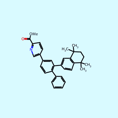 COC(=O)c1ccc(-c2ccc(-c3ccccc3)c(-c3ccc4c(c3)C(C)(C)CCC4(C)C)c2)cn1